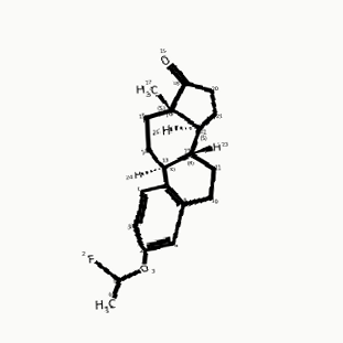 CC(F)Oc1ccc2c(c1)CC[C@@H]1[C@@H]2CC[C@]2(C)C(=O)CC[C@@H]12